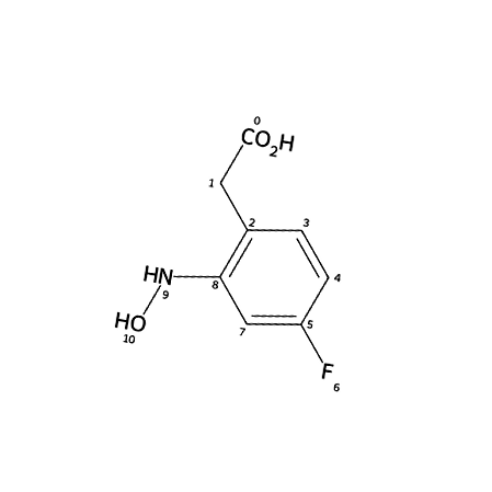 O=C(O)Cc1ccc(F)cc1NO